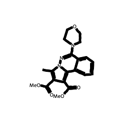 COC(=O)c1c(C(=O)OC)c2c3ccccc3c(N3CCOCC3)nn2c1C